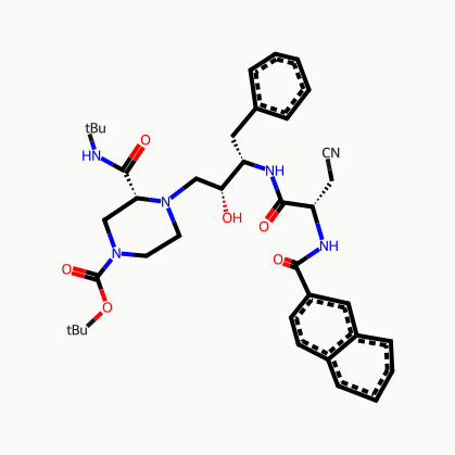 CC(C)(C)NC(=O)[C@H]1CN(C(=O)OC(C)(C)C)CCN1C[C@@H](O)[C@H](Cc1ccccc1)NC(=O)[C@H](CC#N)NC(=O)c1ccc2ccccc2c1